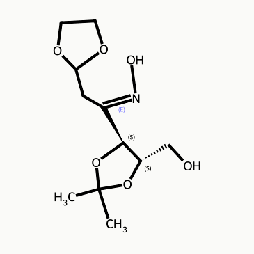 CC1(C)O[C@@H](CO)[C@H](/C(CC2OCCO2)=N/O)O1